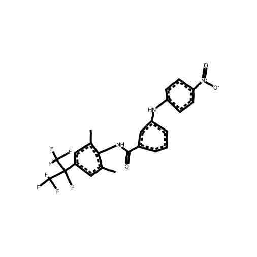 Cc1cc(C(F)(C(F)(F)F)C(F)(F)F)cc(C)c1NC(=O)c1cccc(Nc2ccc([N+](=O)[O-])cc2)c1